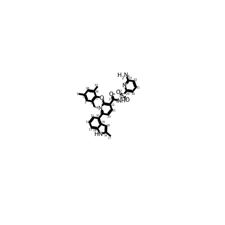 Cc1cc(C)c(Oc2nc(-c3cccc4[nH]c(C)cc34)ccc2C(=O)NS(=O)(=O)c2cccc(N)n2)c(C)c1